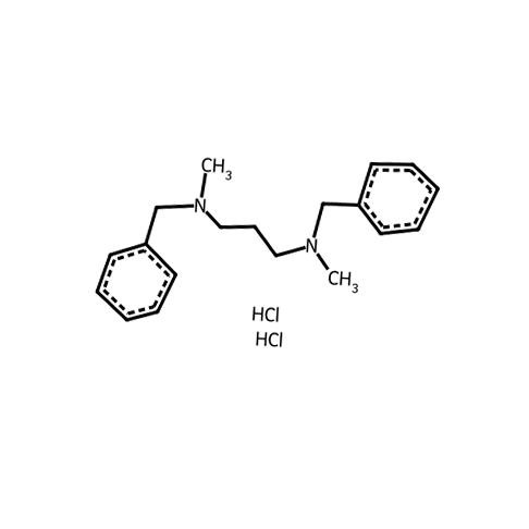 CN(CCCN(C)Cc1ccccc1)Cc1ccccc1.Cl.Cl